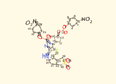 O=C(Oc1ccc([N+](=O)[O-])cc1)O[C@@H]1CC[C@H](c2cc(Nc3ccc4c(c3F)CS(=O)(=O)C4)nn2C(=O)Oc2ccc([N+](=O)[O-])cc2)C1